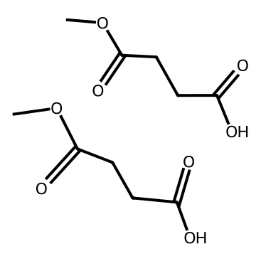 COC(=O)CCC(=O)O.COC(=O)CCC(=O)O